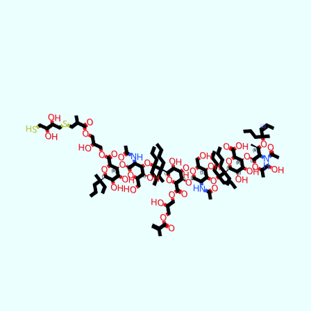 C=C(C)C(=O)OCC(O)COC(=O)C1O[C@@H](C(CC)(CCCC)C(CCC)(CCC)OC2C(NC(C)=O)[C@H](O[C@H]3C(C(=O)OCC(O)COC(=O)C(C)CSCC(O)C(O)CS)O[C@@H](C(C)(CC)CCC)C(O)C3O)OC(CO)[C@H]2O)C(O)C(O)[C@H]1O[C@@H]1OC(CO)[C@@H](O)C(OC(CCC)(CCCC)C(CC)(CCCC)[C@@H]2OC(C(=O)O)[C@H](O[C@H](OC(C)CO)C(NC(C)=O)[C@@H](C)OC(C)(/C=C\C)CCC)C(O)[C@@H]2O)C1NC(C)=O